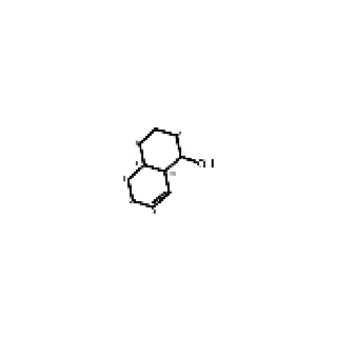 OC1CCCC2CCC=CC12